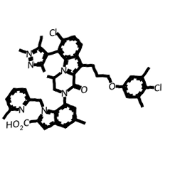 Cc1cc(N2CC(C)n3c(c(CCCOc4cc(C)c(Cl)c(C)c4)c4ccc(Cl)c(-c5c(C)nn(C)c5C)c43)C2=O)c2c(c1)cc(C(=O)O)n2Cc1cccc(C)n1